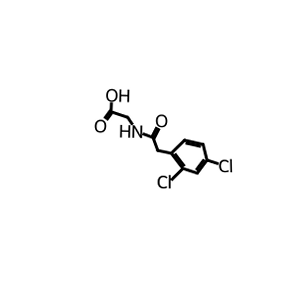 O=C(O)CNC(=O)Cc1ccc(Cl)cc1Cl